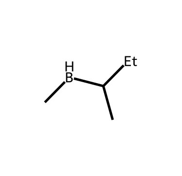 CBC(C)CC